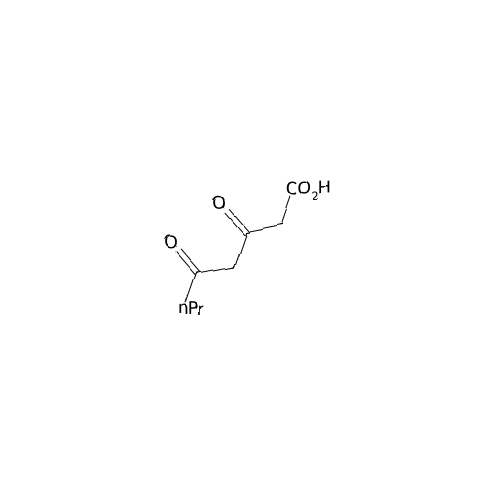 CCCC(=O)CC(=O)CC(=O)O